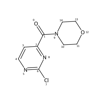 O=C(c1ccnc(Cl)n1)N1CCOCC1